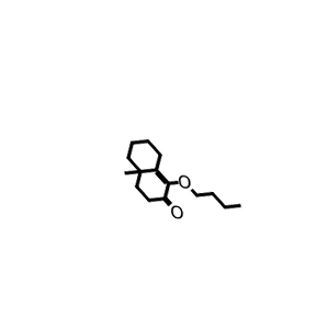 CCCCOC1=C2CCCCC2(C)CCC1=O